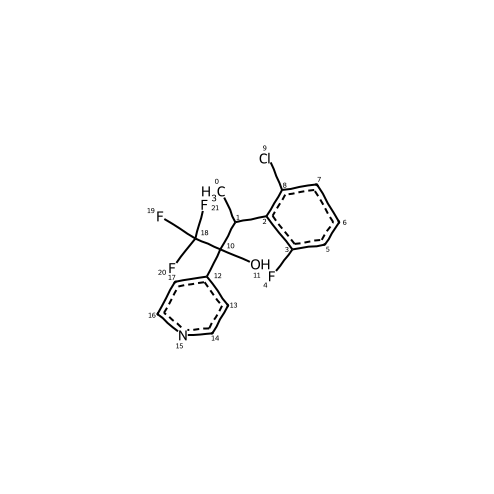 CC(c1c(F)cccc1Cl)C(O)(c1ccncc1)C(F)(F)F